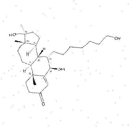 C[C@]12CCC(=O)C=C1[C@H](O)[C@@H](CCCCCCCO)[C@@H]1[C@@H]2CC[C@@]2(C)[C@H]1CC[C@]2(C)O